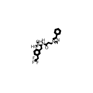 O=C(CCn1cc(-c2ccccc2)nn1)NC(Cc1cccc(CC(F)(F)F)c1)B(O)O